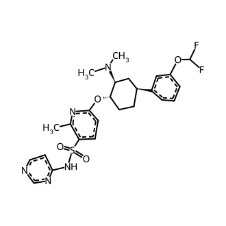 Cc1nc(O[C@H]2CC[C@H](c3cccc(OC(F)F)c3)C[C@@H]2N(C)C)ccc1S(=O)(=O)Nc1ccncn1